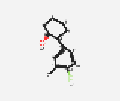 Cc1cc(C2CCCCC2=O)ccc1F